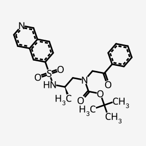 C[C@H](CN(CC(=O)c1ccccc1)C(=O)OC(C)(C)C)NS(=O)(=O)c1ccc2cnccc2c1